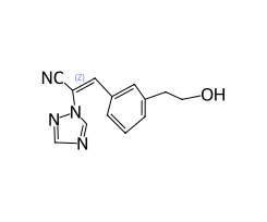 N#C/C(=C/c1cccc(CCO)c1)n1cncn1